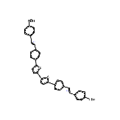 CCCCc1ccc(/C=C/c2ccc(-c3ccc(-c4ccc(-c5ccc(/C=C/c6ccc(CCCC)cc6)cc5)s4)s3)cc2)cc1